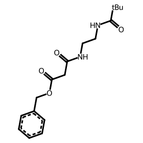 CC(C)(C)C(=O)NCCNC(=O)CC(=O)OCc1ccccc1